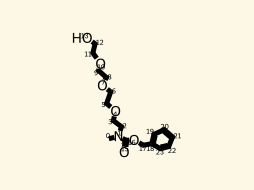 CN(CCOCCOCCOCCO)C(=O)OCc1ccccc1